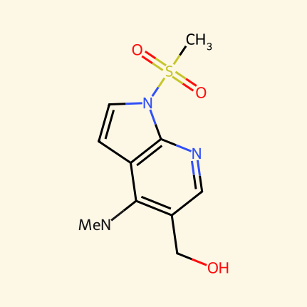 CNc1c(CO)cnc2c1ccn2S(C)(=O)=O